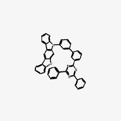 c1ccc(-c2nc(-c3ccccc3)nc(-c3cccc(-c4cccc(-n5c6ccccc6c6cc7c(cc65)oc5ccccc57)c4)c3)n2)cc1